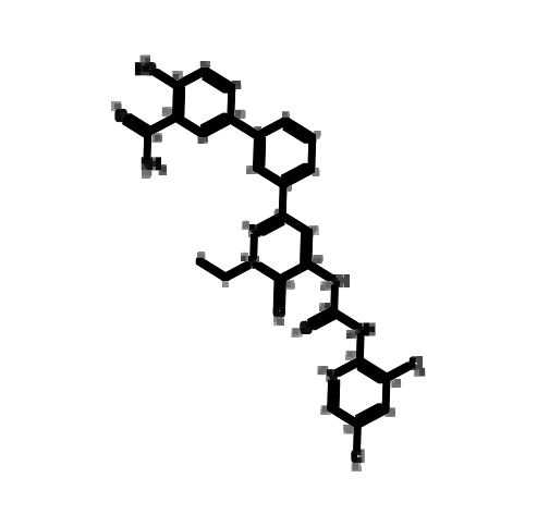 CCn1nc(-c2cccc(-c3ccc(O)c(C(N)=O)c3)c2)cc(NC(=O)Nc2ncc(Cl)cc2Cl)c1=O